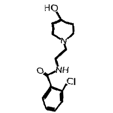 O=C(NCCN1CCC(O)CC1)c1ccccc1Cl